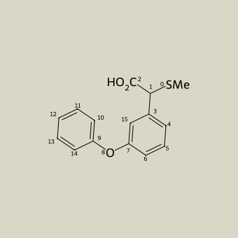 CSC(C(=O)O)c1cccc(Oc2ccccc2)c1